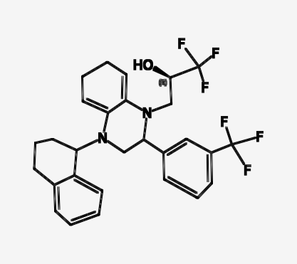 O[C@H](CN1C2=CCCC=C2N(C2CCCc3ccccc32)CC1c1cccc(C(F)(F)F)c1)C(F)(F)F